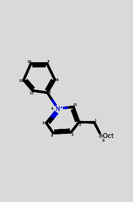 CCCCCCCCCc1ccc[n+](-c2ccccc2)c1